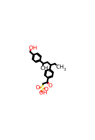 CCC(CC(C)c1ccc(CO)cc1)c1ccc(C(=O)CS(=O)(=O)O)cc1